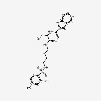 O=C(NC(CC(F)(F)F)C(=O)NCCCCNS(=O)(=O)c1ccc(Cl)cc1Cl)c1cc2ccccc2s1